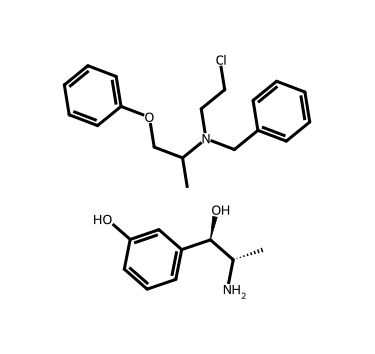 CC(COc1ccccc1)N(CCCl)Cc1ccccc1.C[C@H](N)[C@H](O)c1cccc(O)c1